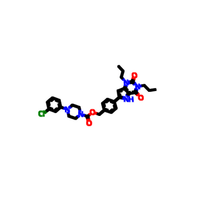 CCCn1c(=O)c2[nH]c(-c3ccc(COC(=O)N4CCN(c5cccc(Cl)c5)CC4)cc3)cc2n(CCC)c1=O